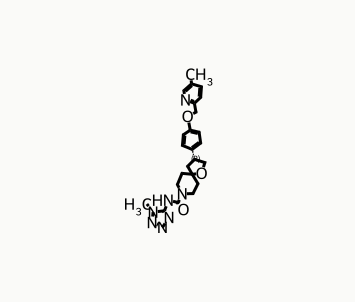 Cc1ccc(COc2ccc([C@@H]3COC4(CCN(C(=O)Nc5nnnn5C)CC4)C3)cc2)nc1